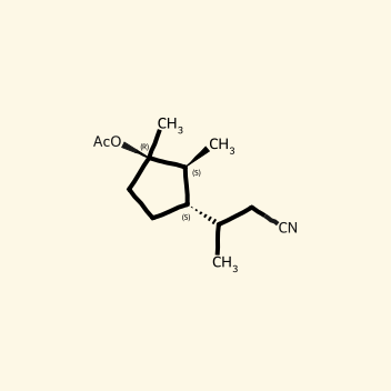 CC(=O)O[C@]1(C)CC[C@@H](C(C)CC#N)[C@@H]1C